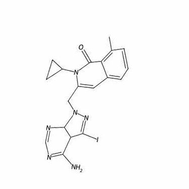 Cc1cccc2cc(CN3N=C(I)C4C(N)=NC=NC43)n(C3CC3)c(=O)c12